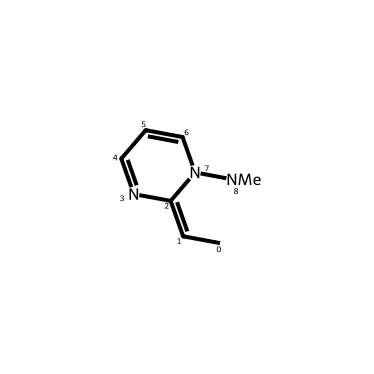 C/C=C1/N=CC=CN1NC